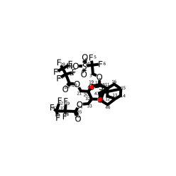 O=C(OCC(F)(F)S(=O)(=O)O)C12CC3CC(C1)C1(SCC(COC(=O)C(F)(F)C(F)(F)F)C(COC(=O)C(F)(F)C(F)(F)F)S1)C(C3)C2